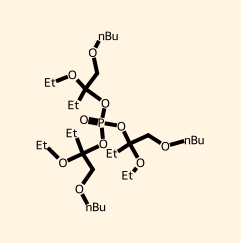 CCCCOCC(CC)(OCC)OP(=O)(OC(CC)(COCCCC)OCC)OC(CC)(COCCCC)OCC